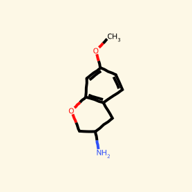 COc1ccc2c(c1)OCC(N)C2